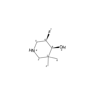 CC1(C)CNC[C@@H](F)[C@H]1O